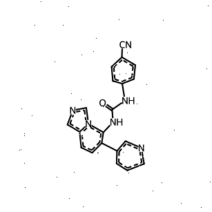 N#Cc1ccc(NC(=O)Nc2c(-c3cccnc3)ccc3cncn23)cc1